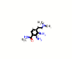 CNC(=O)c1ccc(CCN(C)C)c(N)c1N